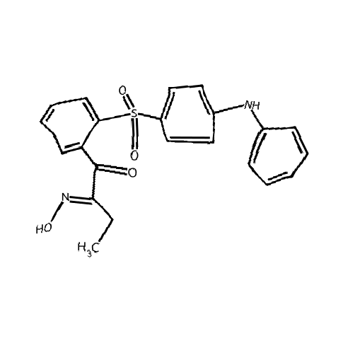 CCC(=NO)C(=O)c1ccccc1S(=O)(=O)c1ccc(Nc2ccccc2)cc1